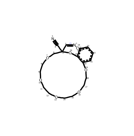 C/N=C\C1(C#N)COCCOCCOCCOCCOc2ccccc2O1